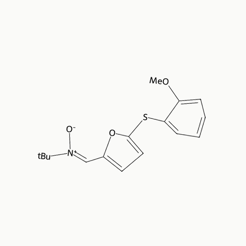 COc1ccccc1Sc1ccc(C=[N+]([O-])C(C)(C)C)o1